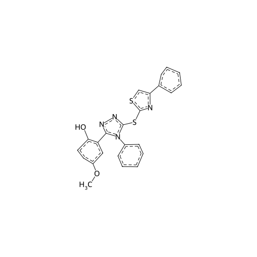 COc1ccc(O)c(-c2nnc(Sc3nc(-c4ccccc4)cs3)n2-c2ccccc2)c1